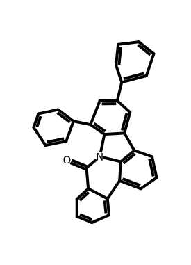 O=c1c2ccccc2c2cccc3c4cc(-c5ccccc5)cc(-c5ccccc5)c4n1c23